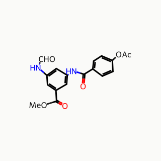 COC(=O)c1cc(NC=O)cc(NC(=O)c2ccc(OC(C)=O)cc2)c1